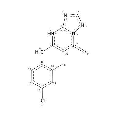 Cc1[nH]c2ncnn2c(=O)c1Cc1cccc(Cl)c1